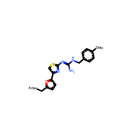 COc1ccc(CN/C(N)=N/c2nc(-c3ccc(CNC(C)=O)o3)cs2)cc1